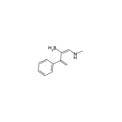 B/C(=C/NC)C(=C)c1ccccc1